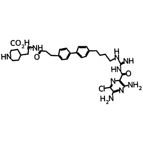 N=C(NCCCCc1ccc(-c2ccc(CCC(=O)N[C@H](CC3CCNCC3)C(=O)O)cc2)cc1)NC(=O)c1nc(Cl)c(N)nc1N